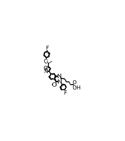 C[C@H](Oc1ccc(F)cc1)c1cc(-c2ccc3c(=O)n(-c4ccc(F)cc4)c(CCCCC(=O)O)nc3c2)no1